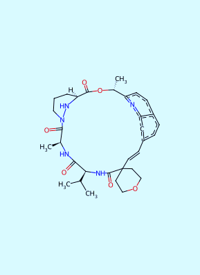 CC(C)[C@@H]1NC(=O)C2(/C=C/c3ccc4ccc(nc4c3)[C@@H](C)OC(=O)[C@@H]3CCCN(N3)C(=O)[C@H](C)NC1=O)CCOCC2